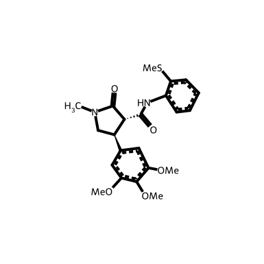 COc1cc([C@H]2CN(C)C(=O)[C@@H]2C(=O)Nc2ccccc2SC)cc(OC)c1OC